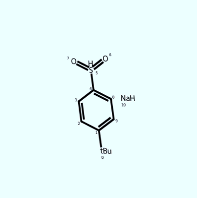 CC(C)(C)c1ccc([SH](=O)=O)cc1.[NaH]